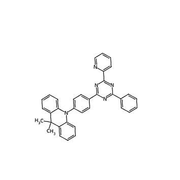 CC1(C)c2ccccc2N(c2ccc(-c3nc(-c4ccccc4)nc(-c4ccccn4)n3)cc2)c2ccccc21